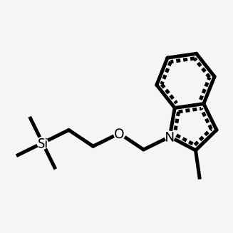 Cc1cc2ccccc2n1COCC[Si](C)(C)C